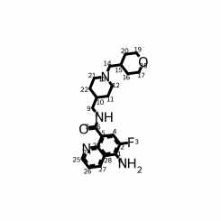 Nc1c(F)cc(C(=O)NCC2CCN(CC3CCOCC3)CC2)c2ncccc12